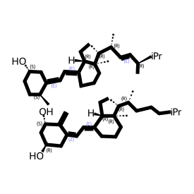 C=C1/C(=C\C=C2/CCC[C@]3(C)[C@@H]([C@H](C)CCCC(C)C)CC[C@@H]23)C[C@@H](O)C[C@@H]1O.CC(C)[C@@H](C)/C=C/[C@@H](C)[C@H]1CC[C@H]2/C(=C/C=C3\C[C@@H](O)CC[C@@H]3C)CCC[C@]12C